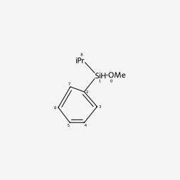 CO[SiH](c1ccccc1)C(C)C